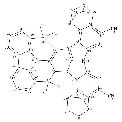 CC1(C)c2c3c(c4c5c6c(c(C#N)cc5n5c7cc(C#N)c8c(c7c2c45)C2CCC8CC2)C2CCC6CC2)C(C)(C)c2cccc4c5cccc1c5n-3c24